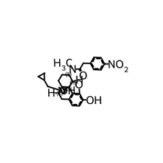 CN(C(=O)Cc1ccc([N+](=O)[O-])cc1)[C@H]1CCC2(O)[C@H]3Cc4ccc(O)c5c4[C@@]2(CCN3CC2CC2)[C@H]1O5